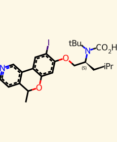 CC(C)C[C@@H](COc1cc2c(cc1I)-c1cnccc1C(C)O2)N(C(=O)O)C(C)(C)C